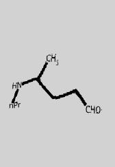 CCCNC(C)CC[C]=O